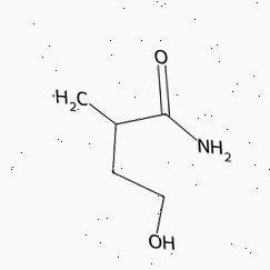 [CH2]C(CCO)C(N)=O